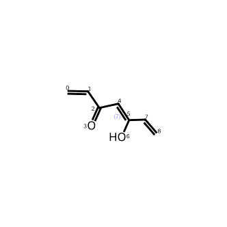 C=CC(=O)/C=C(\O)C=C